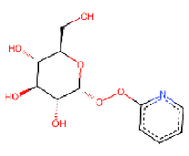 OC[C@H]1O[C@H](OOc2ccccn2)[C@H](O)[C@@H](O)[C@@H]1O